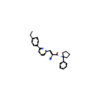 CCc1ccc(-c2cccc(/C=C(\C#N)C(=O)NC3(c4ccccc4)CCCC3)n2)cc1